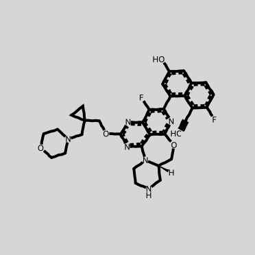 C#Cc1c(F)ccc2cc(O)cc(-c3nc4c5c(nc(OCC6(CN7CCOCC7)CC6)nc5c3F)N3CCNC[C@H]3CO4)c12